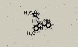 Cc1ccc2c(NCc3cc(C)on3)nc(-c3ccccc3O)nc2c1